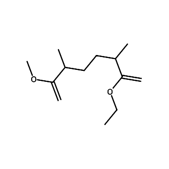 C=C(OC)C(C)CCC(C)C(=C)OCC